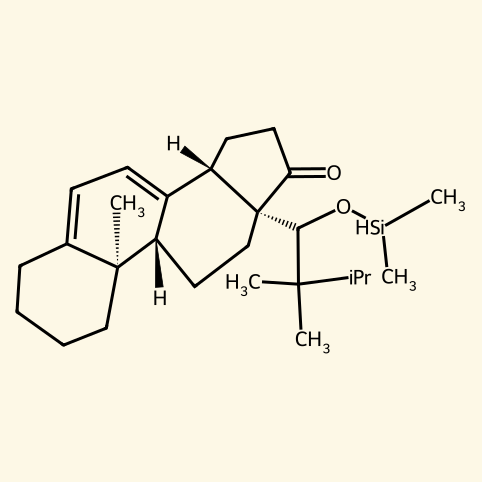 CC(C)C(C)(C)C(O[SiH](C)C)[C@]12CC[C@H]3C(=CC=C4CCCC[C@@]43C)[C@@H]1CCC2=O